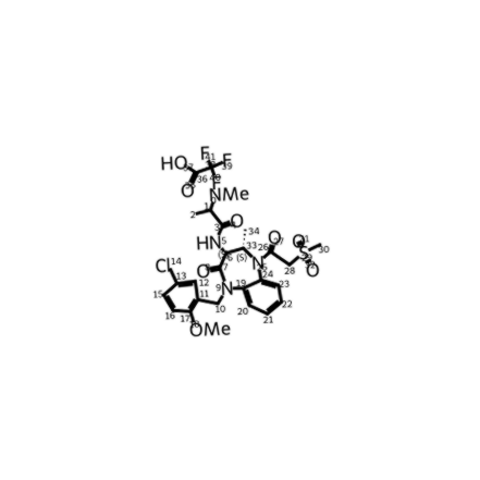 CNC(C)C(=O)N[C@@H]1C(=O)N(Cc2cc(Cl)ccc2OC)c2ccccc2N(C(=O)CS(C)(=O)=O)[C@H]1C.O=C(O)C(F)(F)F